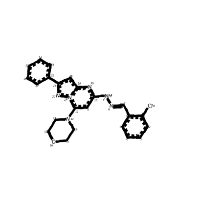 Clc1ccccc1C=NNc1cc(N2CCOCC2)n2nc(-c3ccccc3)cc2n1